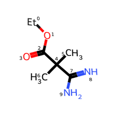 CCOC(=O)C(C)(C)C(=N)N